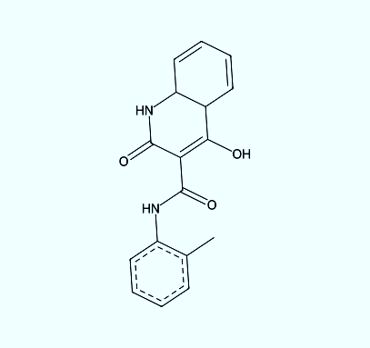 Cc1ccccc1NC(=O)C1=C(O)C2C=CC=CC2NC1=O